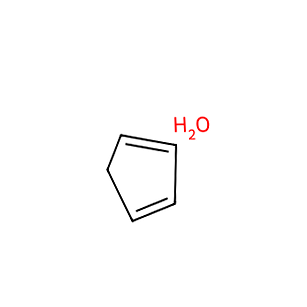 C1=CCC=C1.O